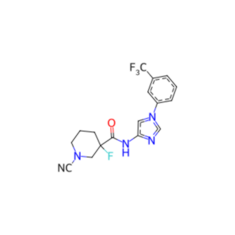 N#CN1CCCC(F)(C(=O)Nc2cn(-c3cccc(C(F)(F)F)c3)cn2)C1